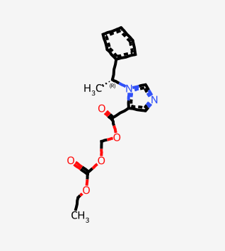 CCOC(=O)OCOC(=O)c1cncn1[C@H](C)c1ccccc1